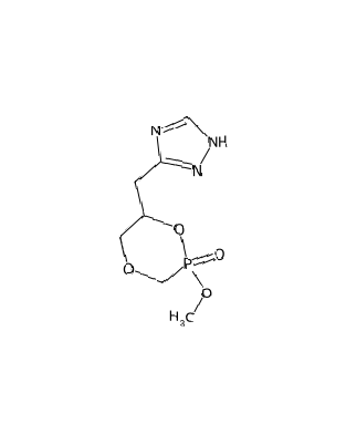 COP1(=O)COCC(Cc2nc[nH]n2)O1